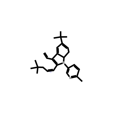 C=CC1=C(/C=C\CC(C)(C)C)N(c2ccc(C)nc2)C2CC=C(C(C)(C)C)C=C12